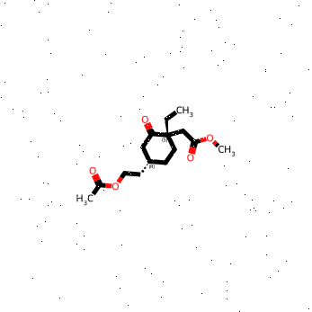 CC[C@@]1(CC(=O)OC)CC[C@H](CCOC(C)=O)CC1=O